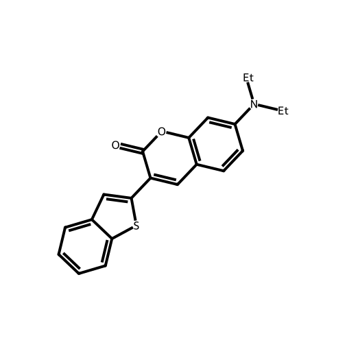 CCN(CC)c1ccc2cc(-c3cc4ccccc4s3)c(=O)oc2c1